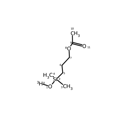 [3H]O[Si](C)(C)CCCOC(C)=O